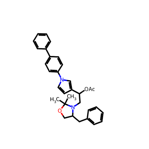 CC(=O)OC(CN1C(Cc2ccccc2)COC1(C)C)c1ccn(-c2ccc(-c3ccccc3)cc2)c1